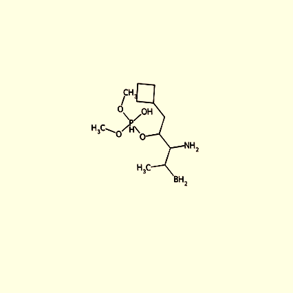 BC(C)C(N)C(CC1CCC1)O[PH](O)(OC)OC